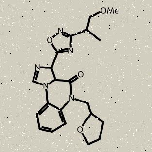 COCC(C)c1noc(C2N=CN3c4ccccc4N(CC4CCCO4)C(=O)C23)n1